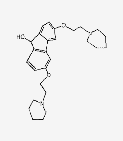 OC1c2ccc(OCCN3CCCCC3)cc2-c2cc(OCCN3CCCCC3)ccc21